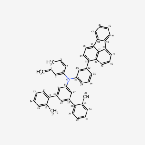 C=C/C=C(\C=C/C)N(c1cc(-c2ccccc2C)cc(-c2ccccc2C#N)c1)c1cccc(-c2ccc3c4c(cccc24)-c2ccccc2-3)c1